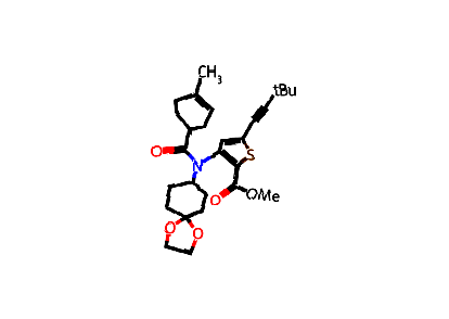 COC(=O)c1sc(C#CC(C)(C)C)cc1N(C(=O)C1CC=C(C)CC1)C1CCC2(CC1)OCCO2